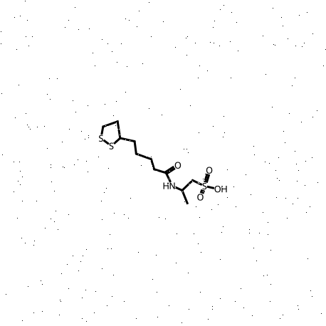 CC(CS(=O)(=O)O)NC(=O)CCCCC1CCSS1